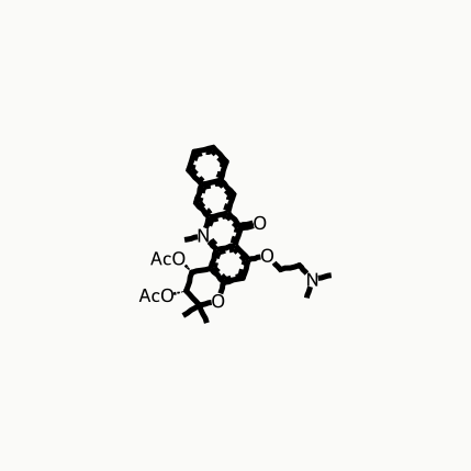 CC(=O)O[C@@H]1c2c(cc(OCCN(C)C)c3c(=O)c4cc5ccccc5cc4n(C)c23)OC(C)(C)[C@@H]1OC(C)=O